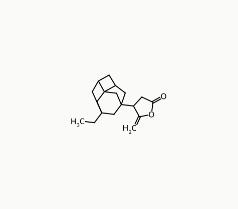 C=C1OC(=O)CC1C12CC3CC4CC(CC)(C1)CC43C2